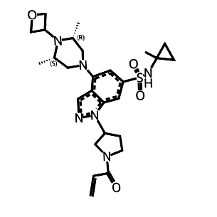 C=CC(=O)N1CCC(n2ncc3c(N4C[C@@H](C)N(C5COC5)[C@@H](C)C4)cc(S(=O)(=O)NC4(C)CC4)cc32)C1